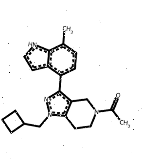 CC(=O)N1CCc2c(c(-c3ccc(C)c4[nH]ccc34)nn2CC2CCC2)C1